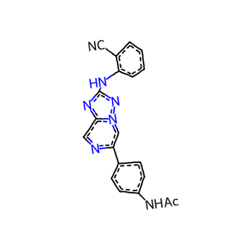 CC(=O)Nc1ccc(-c2cn3nc(Nc4ccccc4C#N)nc3cn2)cc1